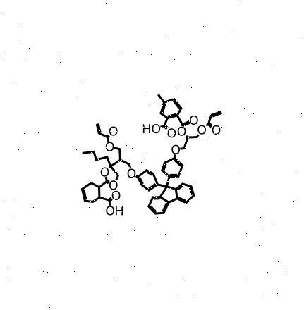 C=CC(=O)OCC(COc1ccc(C2(c3ccc(OCC(COC(=O)C=C)C(CC)(CCCC)OC(=O)C4CC=CCC4C(=O)O)cc3)c3ccccc3-c3ccccc32)cc1)OC(=O)c1ccc(C)cc1C(=O)O